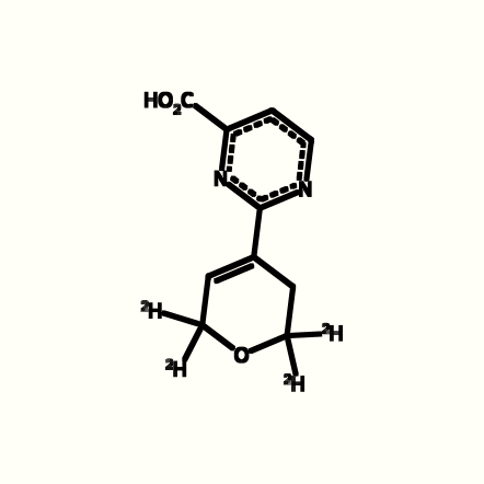 [2H]C1([2H])C=C(c2nccc(C(=O)O)n2)CC([2H])([2H])O1